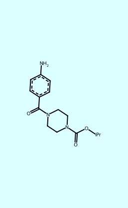 CC(C)OC(=O)N1CCN(C(=O)c2ccc(N)cc2)CC1